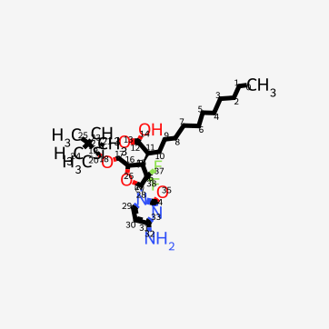 CCCCCCCCCCCC(C(=O)O)[C@@H]1C(CO[Si](C)(C)C(C)(C)C)O[C@@H](n2ccc(N)nc2=O)C1(F)F